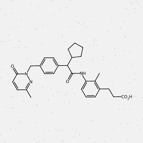 Cc1ccc(=O)n(Cc2ccc(C(C(=O)Nc3cccc(CCC(=O)O)c3C)C3CCCC3)cc2)n1